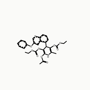 CCOC(=O)OC1=C(C)NC(OC(C)=O)=C(OC(=O)OCC)C1c1cccc2ncc(Oc3ccccc3)cc12